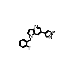 Cn1cc(-c2cnc3ccn(Cc4ccccc4F)c3c2)cn1